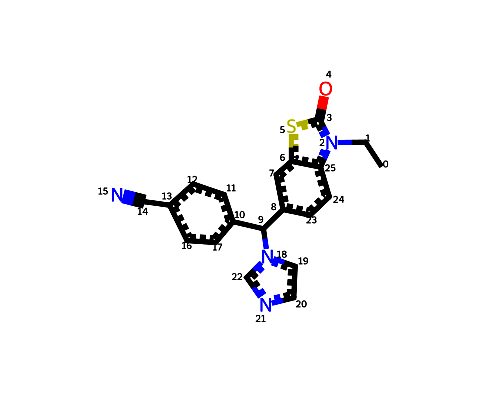 CCn1c(=O)sc2cc(C(c3ccc(C#N)cc3)n3ccnc3)ccc21